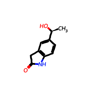 C[C@H](O)c1ccc2c(c1)CC(=O)N2